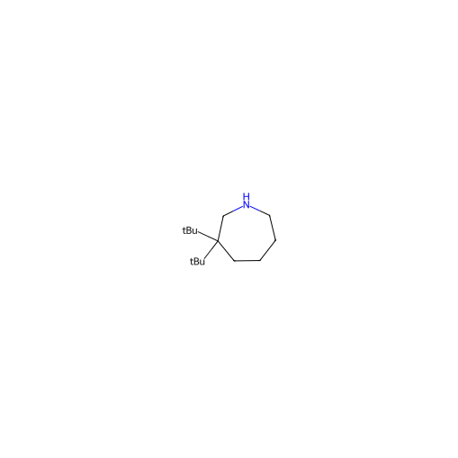 CC(C)(C)C1(C(C)(C)C)CCCCNC1